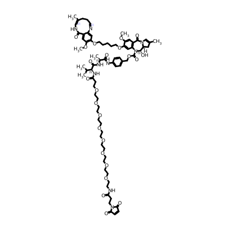 COc1cc2c(cc1OCCCCCOc1cc3c(cc1OC)C(=O)N1C=C(C)C[C@H]1[C@H](O)N3C(=O)OCc1ccc(NC(=O)[C@H](C)NC(=O)[C@@H](NC(=O)CCOCCOCCOCCOCCOCCOCCOCCOCCNC(=O)CCN3C(=O)C=CC3=O)C(C)C)cc1)/N=C\CC/C(C)=C\NC2=O